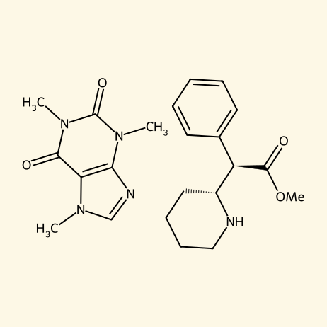 COC(=O)[C@H](c1ccccc1)[C@H]1CCCCN1.Cn1c(=O)c2c(ncn2C)n(C)c1=O